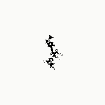 C=CC(=O)N1C[C@@H](n2nc(C#Cc3cc4ncn(C5CC5)c4cc3F)c(C(N)=O)c2N)C[C@@H]1[C@@H](C)O